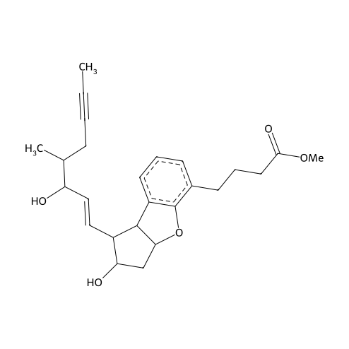 CC#CCC(C)C(O)C=CC1C(O)CC2Oc3c(CCCC(=O)OC)cccc3C21